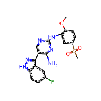 COc1ccc(S(C)(=O)=O)cc1Nc1ncc(-c2n[nH]c3ccc(F)cc23)c(N)n1